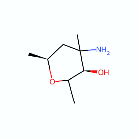 CC1O[C@@H](C)CC(C)(N)[C@H]1O